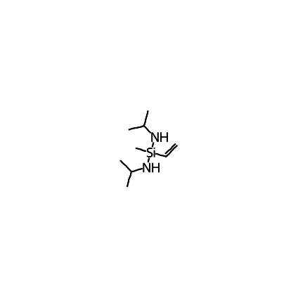 C=C[Si](C)(NC(C)C)NC(C)C